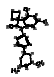 C[C@@H]1CN(c2ccc(N3C(=O)C4(CCC4)c4c(Cl)nc(Cl)nc43)cn2)C[C@H](C)O1